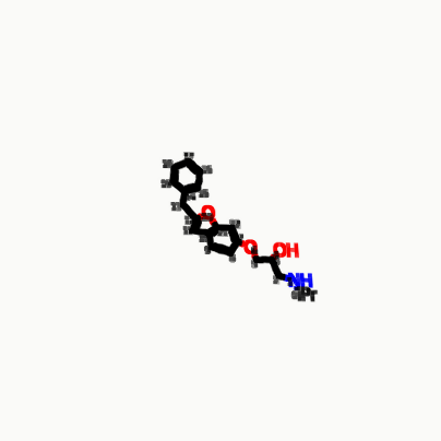 CC(C)NCC(O)COc1ccc2cc(Cc3ccccc3)oc2c1